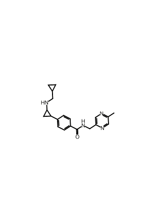 Cc1cnc(CNC(=O)c2ccc(C3CC3NCC3CC3)cc2)cn1